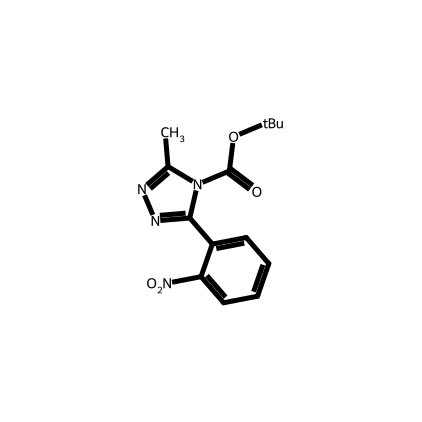 Cc1nnc(-c2ccccc2[N+](=O)[O-])n1C(=O)OC(C)(C)C